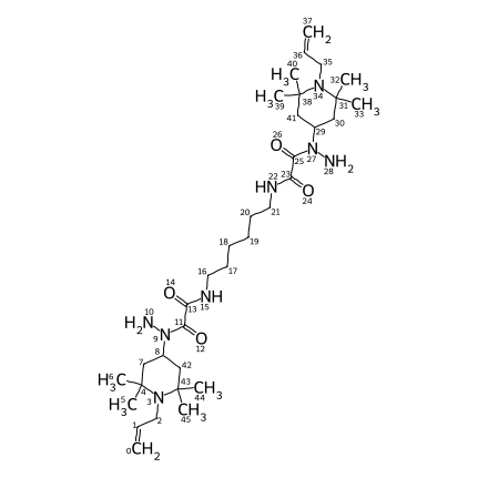 C=CCN1C(C)(C)CC(N(N)C(=O)C(=O)NCCCCCCNC(=O)C(=O)N(N)C2CC(C)(C)N(CC=C)C(C)(C)C2)CC1(C)C